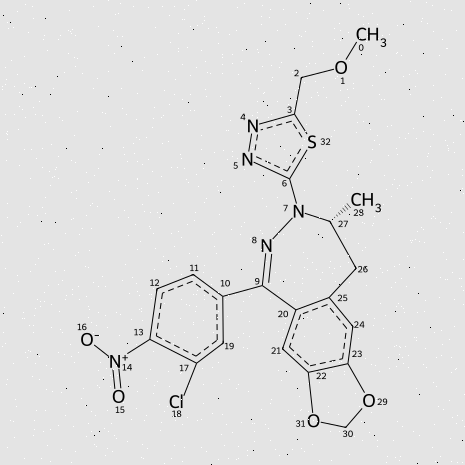 COCc1nnc(N2N=C(c3ccc([N+](=O)[O-])c(Cl)c3)c3cc4c(cc3C[C@H]2C)OCO4)s1